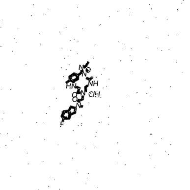 Cc1nc(-c2ccc(C)c(NCC(=O)N(CCNC(C)C)CC(=O)N(C)C3Cc4ccc(F)cc4C3)c2)no1.Cl